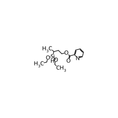 CCO[SiH](OCC)C(C)CCOC(=O)c1ccccn1